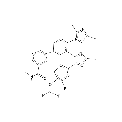 Cc1cn(-c2ccc(-c3cccc(C(=O)N(C)C)c3)cc2-c2nc(C)oc2-c2ccc(OC(F)F)c(F)c2)c(C)n1